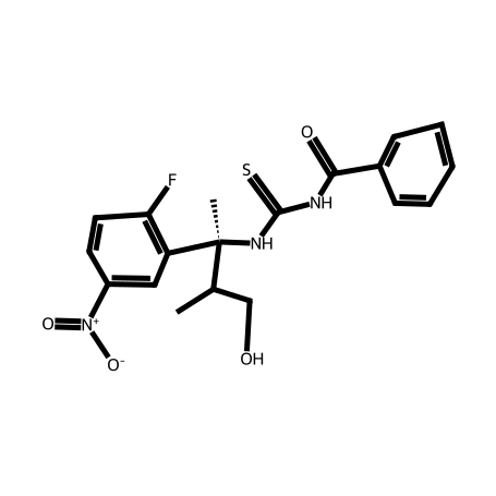 CC(CO)[C@](C)(NC(=S)NC(=O)c1ccccc1)c1cc([N+](=O)[O-])ccc1F